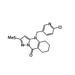 CSc1cc2n(Cc3ccc(Cl)nc3)c3c(c(=O)n2n1)CCCC3